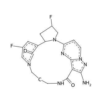 Nc1nn2ccc3nc2c1C(=O)NCCCn1cc(F)cc(c1=O)C1CC(F)CN31